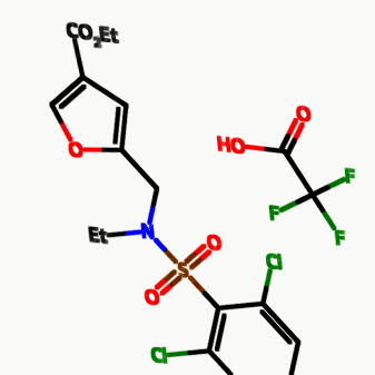 CCOC(=O)c1coc(CN(CC)S(=O)(=O)c2c(Cl)cccc2Cl)c1.O=C(O)C(F)(F)F